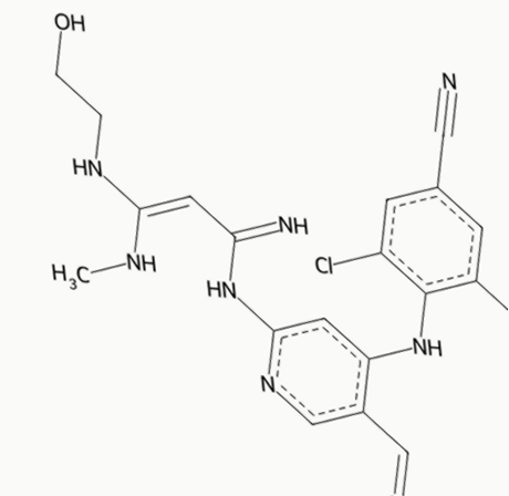 CN/C(=C\C(=N)Nc1cc(Nc2c(F)cc(C#N)cc2Cl)c(C=N)cn1)NCCO